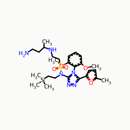 COc1cccc(OC)c1-n1c(-c2ccc(C)o2)nnc1N(CC[Si](C)(C)C)S(=O)(=O)CCNC(C)CCN